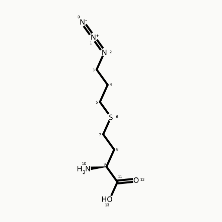 [N-]=[N+]=NCCCSCC[C@H](N)C(=O)O